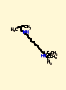 CCC(CC)CNCCCCCCCCCCCCNC(C)C(C)(C)C